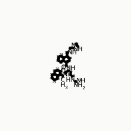 C[C@@H](NC(=O)[C@H](CCCNC(=N)N)NC(=O)c1ccc(CNCc2ncc[nH]2)c2ccccc12)c1cccc2ccccc12